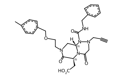 C#CCN1CC(=O)N2[C@@H](CC(=O)O)C(=O)N(CCOCc3ccc(C)cc3)C[C@@H]2N1C(=O)NCc1ccccc1